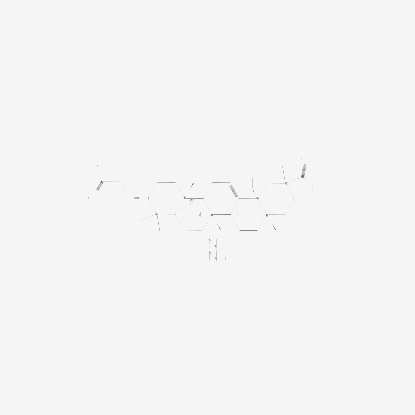 CC1(C(=O)[O-])CC[C@]2(C)CC[C@]3(C)C(=CCC4[C@@]5(C)CC[C@H](OCC(=O)[O-])C(C)(C)C5CC[C@]43C)[C@@H]2C1.[Na+].[Na+]